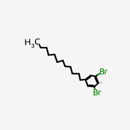 CCCCCCCCCCCCc1cc(Br)[c]c(Br)c1